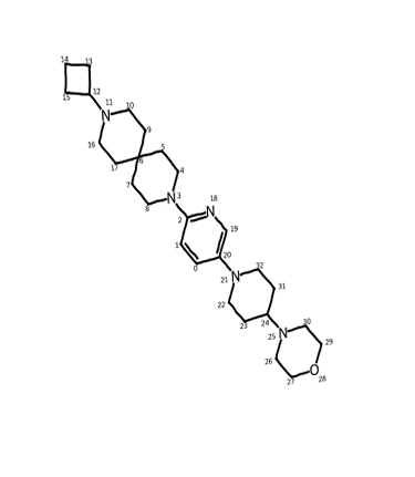 c1cc(N2CCC3(CC2)CCN(C2CCC2)CC3)ncc1N1CCC(N2CCOCC2)CC1